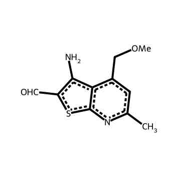 COCc1cc(C)nc2sc(C=O)c(N)c12